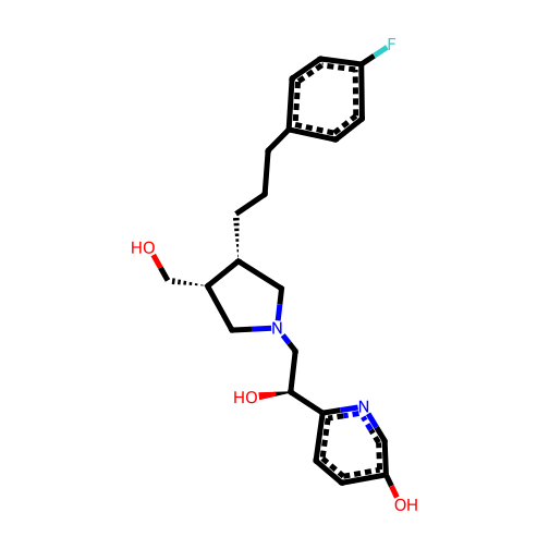 OC[C@H]1CN(C[C@H](O)c2ccc(O)cn2)C[C@H]1CCCc1ccc(F)cc1